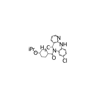 CC(C)OC1CCC(C(=O)N2c3cc(Cl)ccc3Nc3ncccc3C2C)CC1